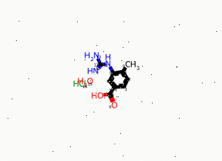 Cc1ccc(C(=O)O)cc1NC(=N)N.Cl.O